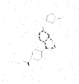 CC(=O)N1CC[C@@H](Oc2ccc3c(C4CCN(C(=O)OC(C)(C)C)CC4)ncnc3c2)C1